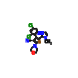 CN1C=CNC1c1sc(N2CCOCC2)c(C#N)c1-c1ccc(Cl)cc1Cl